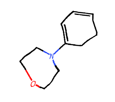 C1=CCCC(N2CCOCC2)=C1